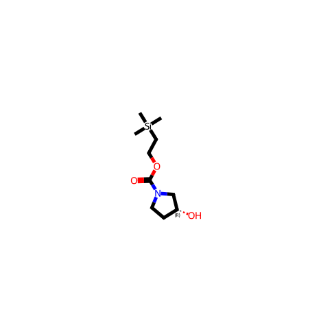 C[Si](C)(C)CCOC(=O)N1CC[C@@H](O)C1